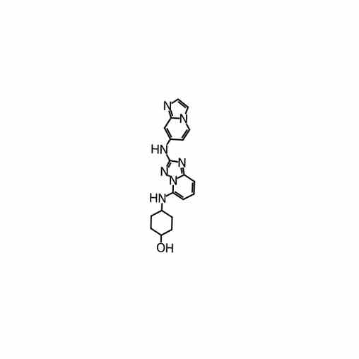 OC1CCC(Nc2cccc3nc(Nc4ccn5ccnc5c4)nn23)CC1